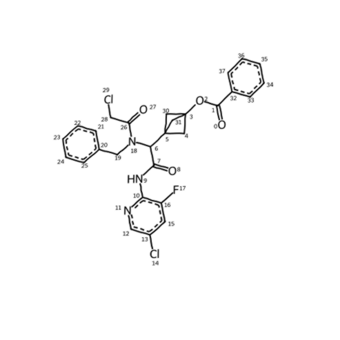 O=C(OC12CC(C(C(=O)Nc3ncc(Cl)cc3F)N(Cc3ccccc3)C(=O)CCl)(C1)C2)c1ccccc1